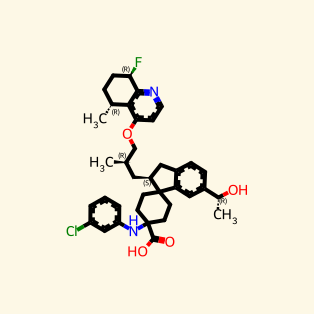 C[C@@H](COc1ccnc2c1[C@H](C)CC[C@H]2F)C[C@H]1Cc2ccc([C@@H](C)O)cc2C12CCC(Nc1cccc(Cl)c1)(C(=O)O)CC2